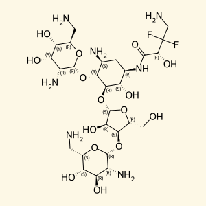 NC[C@@H]1O[C@H](O[C@H]2[C@@H](O)[C@H](O[C@@H]3[C@@H](O)[C@H](NC(=O)[C@@H](O)C(F)(F)CN)C[C@H](N)[C@H]3O[C@H]3O[C@H](CN)[C@@H](O)[C@@H](O)[C@H]3N)O[C@@H]2CO)[C@H](N)[C@@H](O)[C@@H]1O